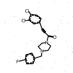 O=C(C#Cc1ccc(Cl)c(Cl)c1)N1CCN(Cc2ccc(F)cc2)CC1